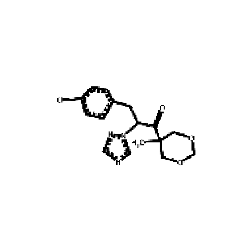 CC1(C(=O)C(Cc2ccc(Cl)cc2)n2cncn2)COCOC1